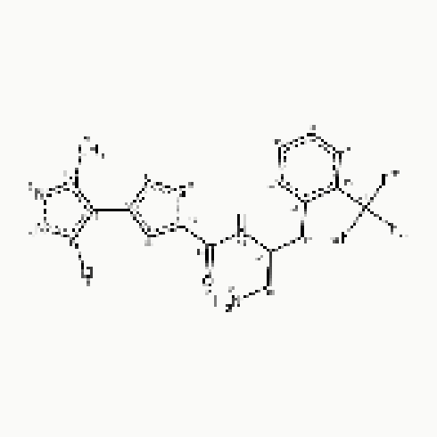 Cn1nnc(Cl)c1-c1csc(C(=O)N[C@H](CN)Cc2ccccc2C(F)(F)F)c1